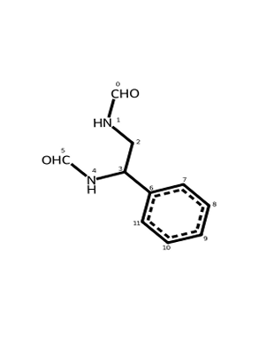 O=CNCC(NC=O)c1ccccc1